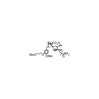 CCN(C(=O)O)[C@@H](C[C@H](Cc1ccc(OC)c(OCCCOC)c1)C(C)C)[C@@H](O)C[C@H](C(=O)NCC(C)(C)C(N)=O)C(C)C